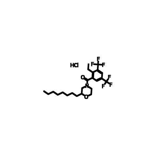 CCCCCCCCC1CN(C(=O)c2cc(C(F)(F)F)cc(C(F)(F)F)c2CC)CCO1.Cl